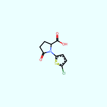 O=C(O)C1CCC(=O)N1c1ccc(Cl)s1